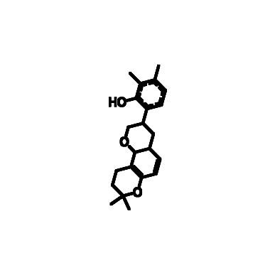 Cc1ccc(C2COC3C4=C(C=CC3C2)OC(C)(C)CC4)c(O)c1C